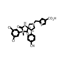 C[N+]1(c2cc(Cl)cc(Cl)c2)C(=O)N[C@@]2(CN(Cc3cc(C(=O)O)cs3)C[C@H]2c2ccc(C#N)cc2)C1=O